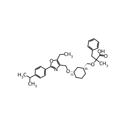 CCc1oc(-c2ccc(C(C)C)cc2)nc1CO[C@H]1CCC[C@@H](COC(C)(Cc2ccccc2)C(=O)O)C1